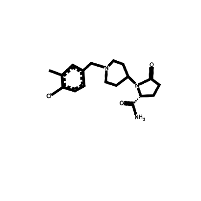 Cc1cc(CN2CCC(N3C(=O)CC[C@@H]3C(N)=O)CC2)ccc1Cl